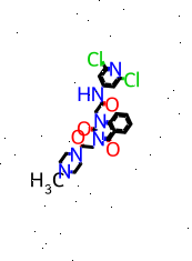 CN1CCN(C(=O)Cn2c(=O)c3ccccc3n(CC(=O)Nc3cc(Cl)nc(Cl)c3)c2=O)CC1